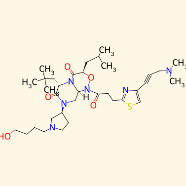 CC(C)C[C@H]1ON(C(=O)CCc2nc(C#CCN(C)C)cs2)[C@H]2CN([C@H]3CCN(CCCCO)C3)C(=O)[C@H](CC(C)(C)C)N2C1=O